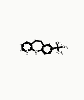 CC(C)(C)c1ccc2c(c1)CCc1cccnc1O2